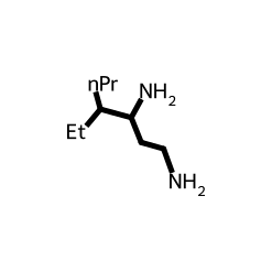 CCCC(CC)C(N)CCN